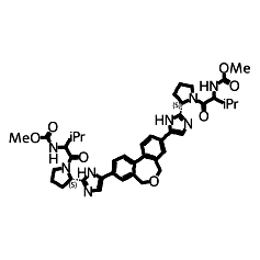 COC(=O)NC(C(=O)N1CCC[C@H]1c1ncc(-c2ccc3c(c2)COCc2cc(-c4cnc([C@@H]5CCCN5C(=O)C(NC(=O)OC)C(C)C)[nH]4)ccc2-3)[nH]1)C(C)C